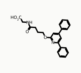 O=C(O)CNC(=O)CCCOc1cc(-c2ccccc2)cc(-c2ccccc2)n1